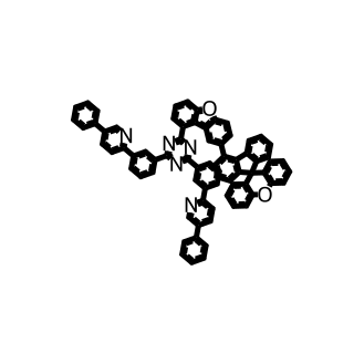 c1ccc(-c2ccc(-c3cccc(-c4nc(-c5cccc(-c6ccc(-c7ccccc7)cn6)c5)nc(-c5cccc6oc7ccc(-c8cccc9c8-c8ccccc8C98c9ccccc9Oc9ccccc98)cc7c56)n4)c3)nc2)cc1